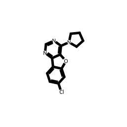 Clc1ccc2c(c1)oc1c(N3CCCC3)ncnc12